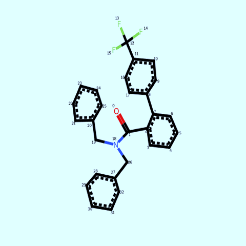 O=C(c1ccccc1-c1ccc(C(F)(F)F)cc1)N(Cc1ccccc1)Cc1ccccc1